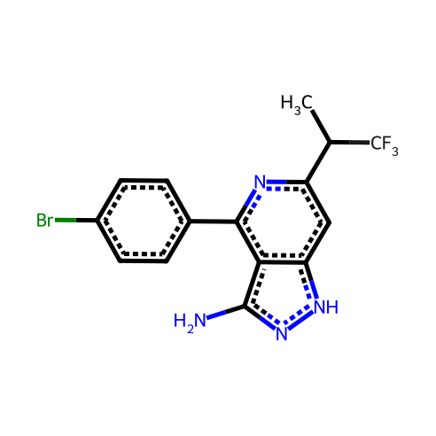 CC(c1cc2[nH]nc(N)c2c(-c2ccc(Br)cc2)n1)C(F)(F)F